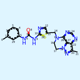 Cc1cccc(NC(=O)Nc2ncc(CN3CCn4nc(C)c5ncnc3c54)s2)c1